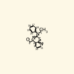 CCN(C1=NC(C=O)c2cccnc2S1)c1ccccc1